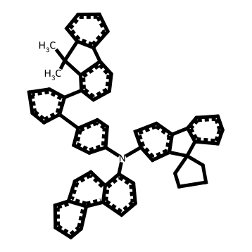 CC1(C)c2ccccc2-c2cccc(-c3ccccc3-c3ccc(N(c4ccc5c(c4)C4(CCCC4)c4ccccc4-5)c4cccc5c4ccc4ccccc45)cc3)c21